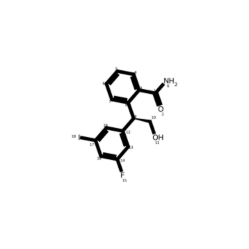 NC(=O)c1ccccc1[C@@H](CO)c1cc(F)cc(I)c1